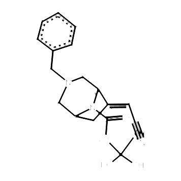 CC(C)(C)OC(=O)N1C2CC(=CC#N)C1CN(Cc1ccccc1)C2